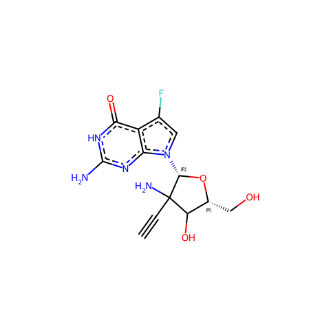 C#CC1(N)C(O)[C@@H](CO)O[C@H]1n1cc(F)c2c(=O)[nH]c(N)nc21